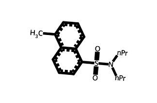 CCCN(CCC)S(=O)(=O)c1cccc2c(C)cccc12